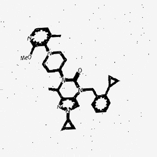 COc1nccc(C)c1N1CCC(N2C(=O)N(Cc3ccccc3C3CC3)c3cn(C4CC4)nc3C2C)CC1